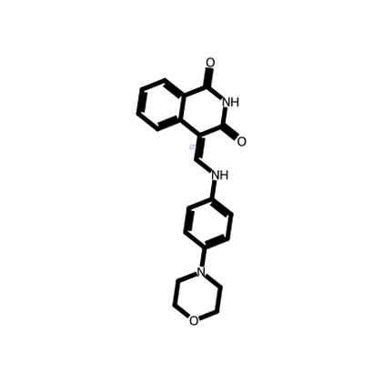 O=C1NC(=O)c2ccccc2/C1=C/Nc1ccc(N2CCOCC2)cc1